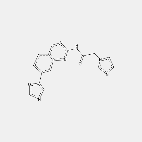 O=C(Cn1ccnc1)Nc1ncc2ccc(-c3cnco3)cc2n1